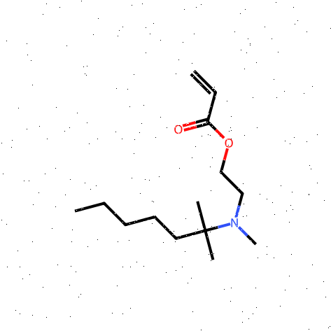 C=CC(=O)OCCN(C)C(C)(C)CCCCC